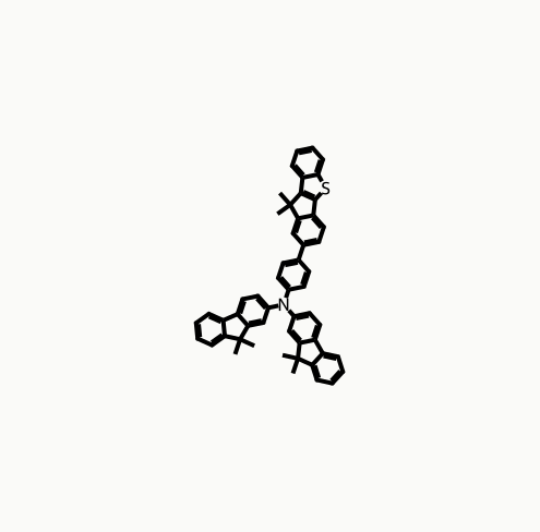 CC1(C)c2ccccc2-c2ccc(N(c3ccc(-c4ccc5c(c4)C(C)(C)c4c-5sc5ccccc45)cc3)c3ccc4c(c3)C(C)(C)c3ccccc3-4)cc21